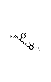 CCCC(CCCOCc1ccc(C)c(F)c1F)C1CCC(I)CC1